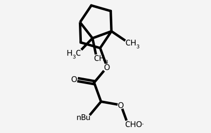 CCCCC(O[C]=O)C(=O)OC1CC2CCC1(C)C2(C)C